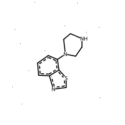 c1cc(N2CCNCC2)c2scnc2c1